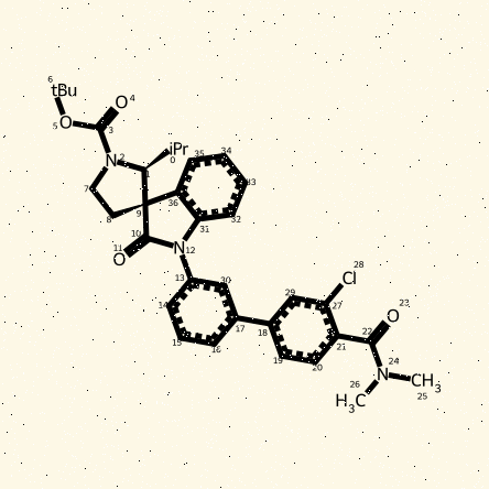 CC(C)[C@@H]1N(C(=O)OC(C)(C)C)CC[C@@]12C(=O)N(c1cccc(-c3ccc(C(=O)N(C)C)c(Cl)c3)c1)c1ccccc12